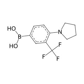 OB(O)c1ccc(N2CCCC2)c(C(F)(F)F)c1